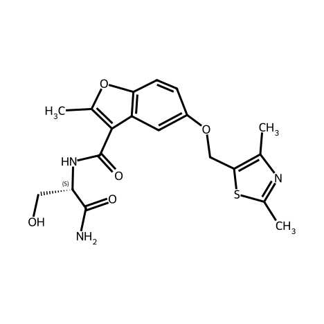 Cc1nc(C)c(COc2ccc3oc(C)c(C(=O)N[C@@H](CO)C(N)=O)c3c2)s1